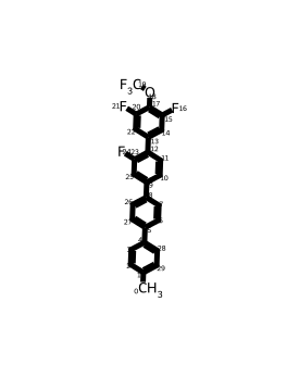 Cc1ccc(-c2ccc(-c3ccc(-c4cc(F)c(OC(F)(F)F)c(F)c4)c(F)c3)cc2)cc1